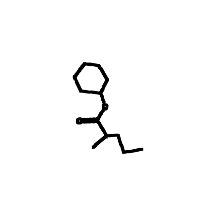 CCC[C](C)C(=O)OC1CCCCC1